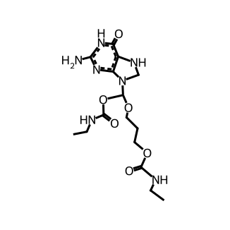 CCNC(=O)OCCCOC(OC(=O)NCC)N1CNc2c1nc(N)[nH]c2=O